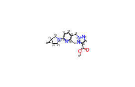 COC(=O)c1cnn(Cc2ccc(N3CC4CC4C3)nc2C)n1